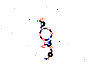 N#CSc1ccc(CCOc2cc(CN3CCOCCOCCN(Cc4cccc(C(=O)O)n4)CCOCCOCC3)nc(C(=O)O)c2)cc1